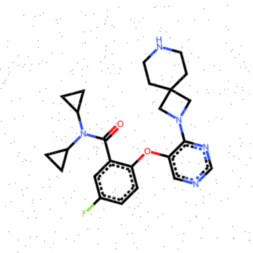 O=C(c1cc(F)ccc1Oc1cncnc1N1CC2(CCNCC2)C1)N(C1CC1)C1CC1